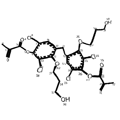 C=C(C)C(=O)Oc1c(Cl)cc(Cc2cc(Cl)c(OC(=O)C(=C)C)c(Cl)c2OCCCO)c(OCCCO)c1Cl